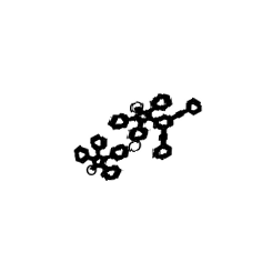 O=C1C(c2ccccc2)=C(c2ccccc2)C(c2ccc(Oc3ccc(C4=C(c5ccccc5)C(=O)C(c5ccccc5)=C4c4cc(C#Cc5ccccc5)cc(C#Cc5ccccc5)c4)cc3)cc2)=C1c1ccccc1